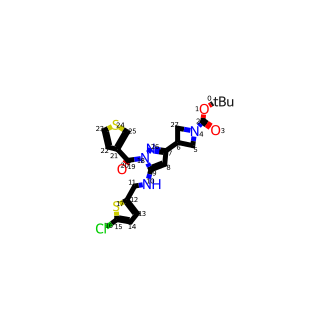 CC(C)(C)OC(=O)N1CC(c2cc(NCc3ccc(Cl)s3)n(C(=O)c3ccsc3)n2)C1